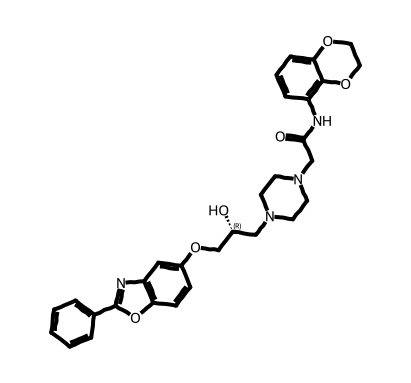 O=C(CN1CCN(C[C@@H](O)COc2ccc3oc(-c4ccccc4)nc3c2)CC1)Nc1cccc2c1OCCO2